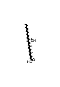 CCCCCCCCCC(CC=CC=CC=CC=CC=CC(=O)O)OO